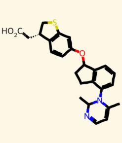 CC1=CC=NC(C)N1c1cccc2c1CCC2Oc1ccc2c(c1)SC[C@H]2CC(=O)O